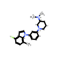 Cc1ccc(F)c2ccn(-c3cccc(N4CCCC(N(C)C)C4)c3)c12